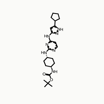 CC(C)(C)OC(=O)N[C@H]1CC[C@H](Nc2nccc(Nc3cc(C4CCCC4)[nH]n3)n2)CC1